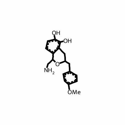 COc1ccc(CC2Cc3c(ccc(O)c3O)C(CN)O2)cc1